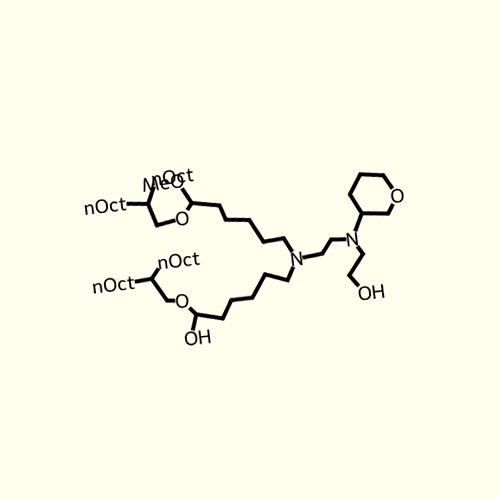 CCCCCCCCC(CCCCCCCC)COC(O)CCCCCN(CCCCCC(OC)OCC(CCCCCCCC)CCCCCCCC)CCN(CCO)C1CCCOC1